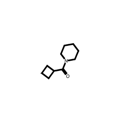 O=C(C1C[CH]C1)N1CCCCC1